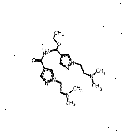 CCOC(=O)c1cnn(CCN(C)C)c1.CN(C)CCn1cc(C(N)=O)cn1